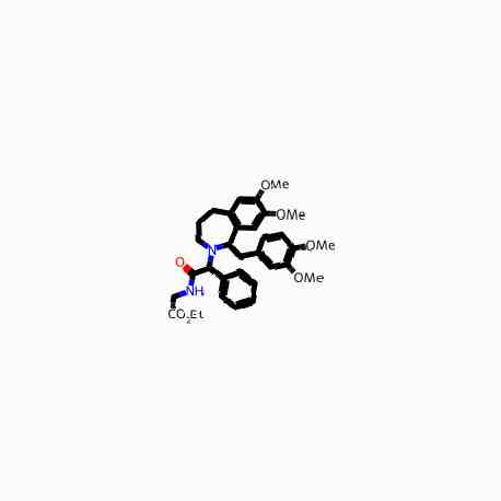 CCOC(=O)CNC(=O)C(c1ccccc1)N1CCCc2cc(OC)c(OC)cc2C1Cc1ccc(OC)c(OC)c1